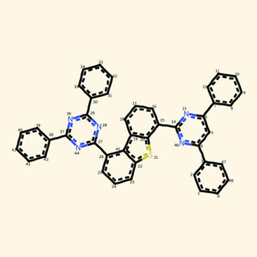 c1ccc(-c2cc(-c3ccccc3)nc(-c3cccc4c3sc3cccc(-c5nc(-c6ccccc6)nc(-c6ccccc6)n5)c34)n2)cc1